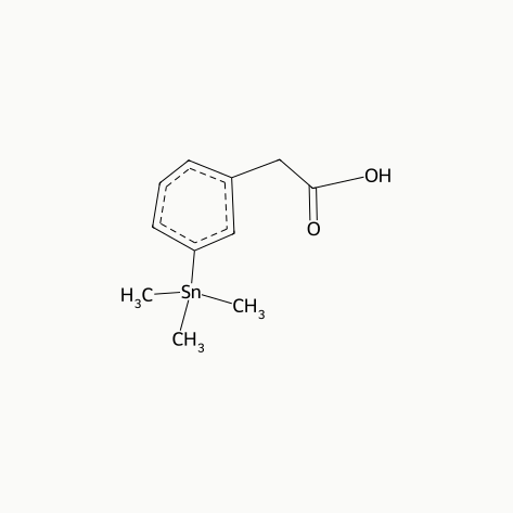 [CH3][Sn]([CH3])([CH3])[c]1cccc(CC(=O)O)c1